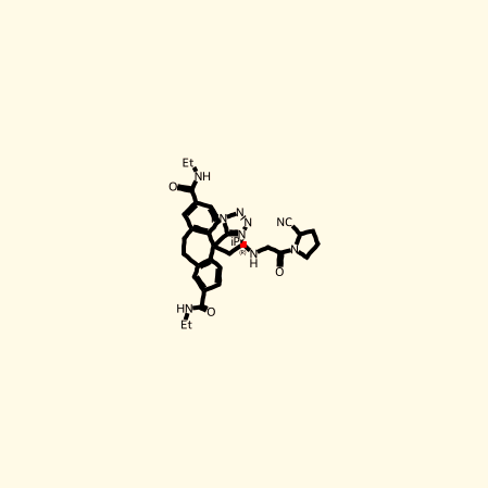 CCNC(=O)c1ccc2c(c1)CCc1cc(C(=O)NCC)ccc1C2(C[C@@H](NCC(=O)N1CCCC1C#N)C(C)C)c1nnn[nH]1